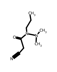 CCCN(C(=O)CC#N)N(C)C